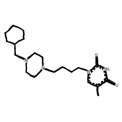 Cc1cn(CCCCN2CCN(CC3CCCCC3)CC2)c(=O)[nH]c1=O